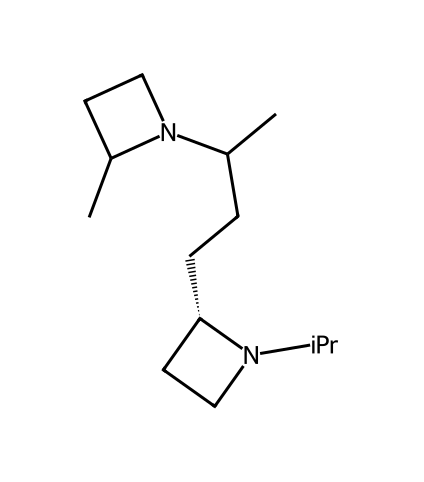 CC(CC[C@H]1CCN1C(C)C)N1CCC1C